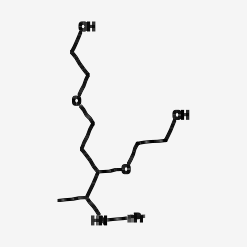 CCCNC(C)C(CCOCCO)OCCO